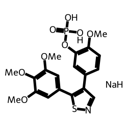 COc1ccc(-c2cnsc2-c2cc(OC)c(OC)c(OC)c2)cc1OP(=O)(O)O.[NaH]